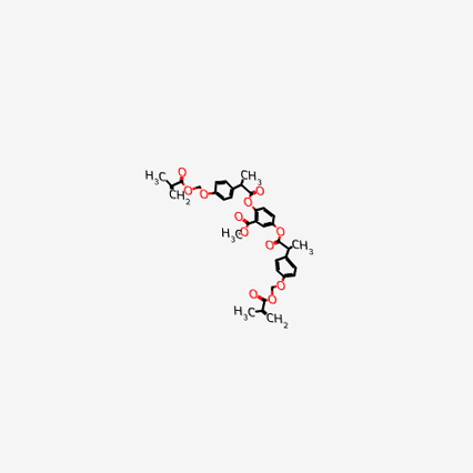 C=C(C)C(=O)OCOc1ccc(C(C)C(=O)Oc2ccc(OC(=O)C(C)c3ccc(OCOC(=O)C(=C)C)cc3)c(C(=O)OC)c2)cc1